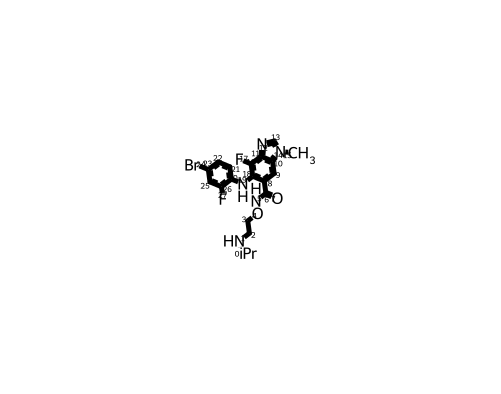 CC(C)NCCONC(=O)c1cc2c(ncn2C)c(F)c1Nc1ccc(Br)cc1F